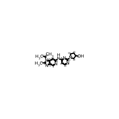 Cc1nc2cnc(Nc3ccnc(N4CCC(O)C4)n3)cc2n1C(C)C